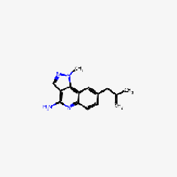 C=C(C)Cc1ccc2nc(N)c3cnn(C)c3c2c1